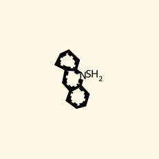 S.c1ccc2nc3ccccc3cc2c1